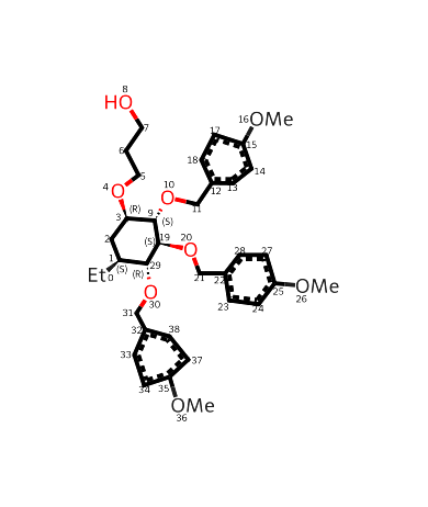 CC[C@H]1C[C@@H](OCCCO)[C@H](OCc2ccc(OC)cc2)[C@@H](OCc2ccc(OC)cc2)[C@@H]1OCc1ccc(OC)cc1